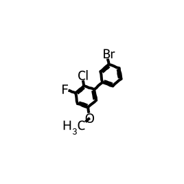 COc1cc(F)c(Cl)c(-c2cccc(Br)c2)c1